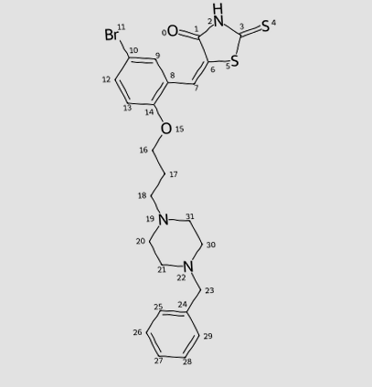 O=C1NC(=S)SC1=Cc1cc(Br)ccc1OCCCN1CCN(Cc2ccccc2)CC1